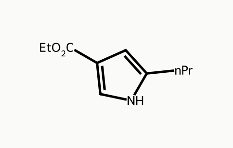 CCCc1cc(C(=O)OCC)c[nH]1